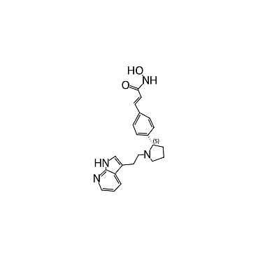 O=C(C=Cc1ccc([C@@H]2CCCN2CCc2c[nH]c3ncccc23)cc1)NO